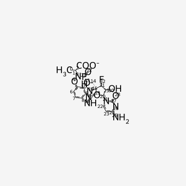 CC(C(=O)[O-])N(Oc1ccccc1)[PH](=O)OC[C@@]1(N=[N+]=N)O[C@@H](n2ccc(N)nc2=O)[C@H](O)[C@@H]1F